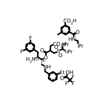 CCCC(CCC)S(=O)(=O)CC(CC(=O)O)C(=O)O[C@H](CNCc1cccc(CC)c1)[C@@H](N)Cc1cc(F)cc(F)c1.Cc1cc(C(=O)O)cc(C(=O)NCC(C)C)c1.O=C(O)C(F)(F)F